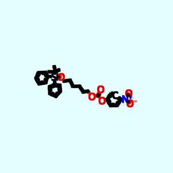 CC(C)(C)[Si](OCCCCCCOC(=O)Oc1ccc([N+](=O)[O-])cc1)(c1ccccc1)c1ccccc1